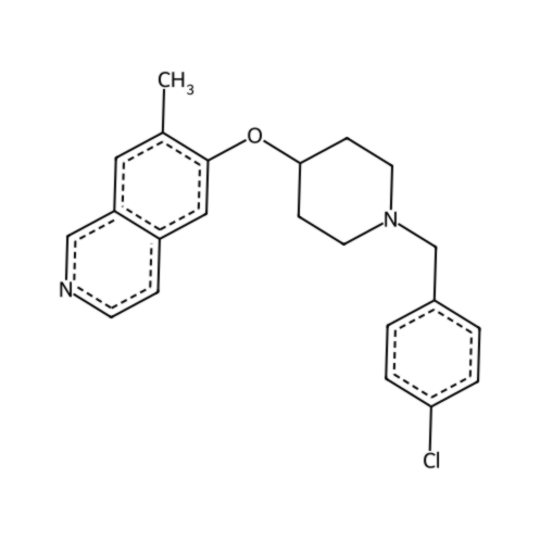 Cc1cc2cnccc2cc1OC1CCN(Cc2ccc(Cl)cc2)CC1